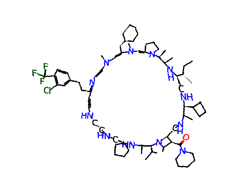 CC[C@H](C)[C@H]1CN[C@@H](C2CCC2)C(C)NCC2[C@@H](C(=O)N3CCCCC3)C(C)N2[C@@H](C(C)C)C(C)NC2(CCCC2)CNCCNC=CC(CCc2ccc(C(F)(F)F)c(Cl)c2)=NC=CN(C)C=C(CC2CCCCC2)N(C)C=C2CCCN2[C@@H](C)C(C)N1